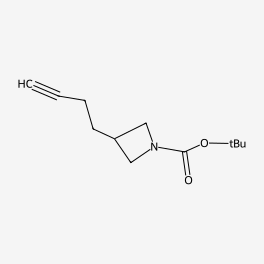 C#CCCC1CN(C(=O)OC(C)(C)C)C1